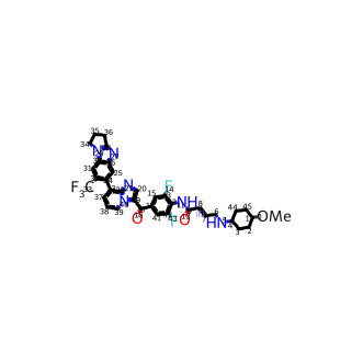 COC1CCC(NC/C=C/C(=O)Nc2c(F)cc(C(=O)c3cnc4c(-c5cc6nc7n(c6cc5C(F)(F)F)CCC7)cccn34)cc2F)CC1